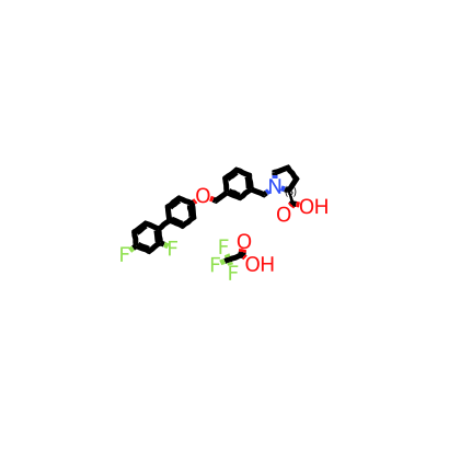 O=C(O)C(F)(F)F.O=C(O)[C@@H]1CCCN1Cc1cccc(COc2ccc(-c3ccc(F)cc3F)cc2)c1